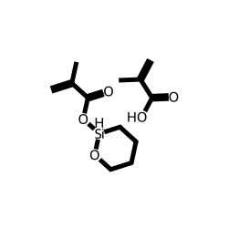 C=C(C)C(=O)O.C=C(C)C(=O)O[SiH]1CCCCO1